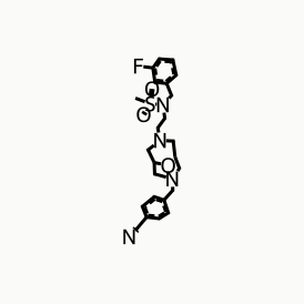 CS(=O)(=O)N(CCN1CC2CN(Cc3ccc(C#N)cc3)CC(C1)O2)Cc1cccc(F)c1